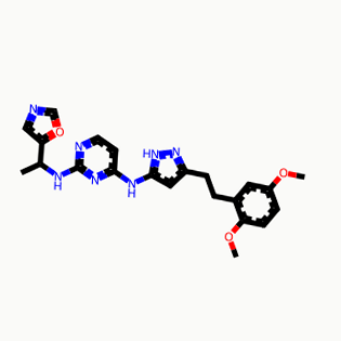 COc1ccc(OC)c(CCc2cc(Nc3ccnc(NC(C)c4cnco4)n3)[nH]n2)c1